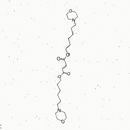 O=C(C=CC(=O)OCCCCCCN1CCOCC1)OCCCCCCN1CCOCC1